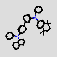 CC1(C)CCC(C)(C)c2cc(N(c3ccccc3)c3cccc(-c4ccc(N(c5ccccc5)c5cccc6ccccc56)cc4)c3)ccc21